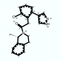 C[C@H]1c2ccccc2CCN1C(=O)Cc1c(Cl)cccc1-c1cn[nH]c1